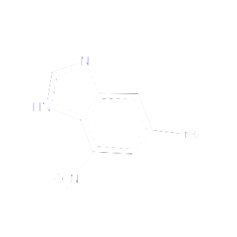 CC(C)(C)c1cc([N+](=O)[O-])c2[nH]cnc2c1